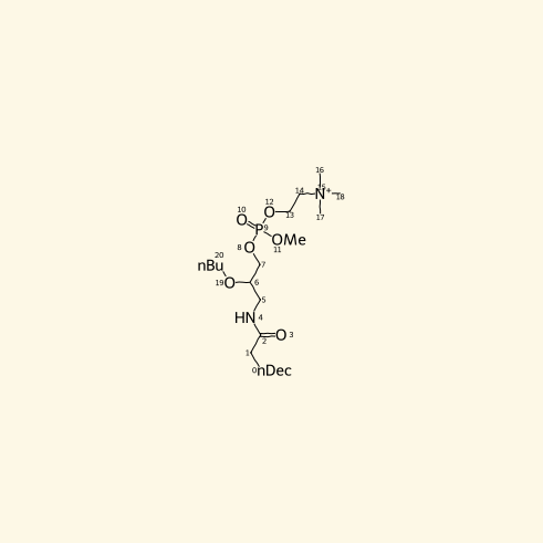 CCCCCCCCCCCC(=O)NCC(COP(=O)(OC)OCC[N+](C)(C)C)OCCCC